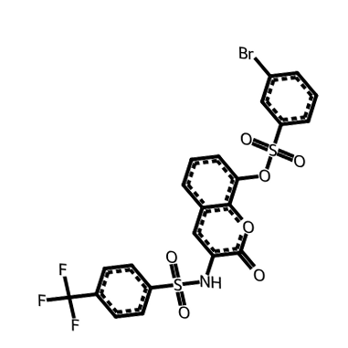 O=c1oc2c(OS(=O)(=O)c3cccc(Br)c3)cccc2cc1NS(=O)(=O)c1ccc(C(F)(F)F)cc1